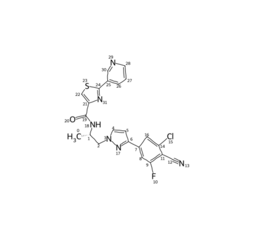 C[C@@H](Cn1ccc(-c2cc(F)c(C#N)c(Cl)c2)n1)NC(=O)c1csc(-c2cccnc2)n1